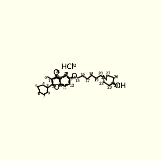 Cc1c(C2CCCCC2)oc2ccc(OCCCCCCN3CCC(O)CC3)cc2c1=O.Cl